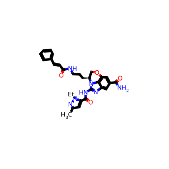 CCn1nc(C)cc1C(=O)Nc1nc2cc(C(N)=O)cc3c2n1[C@@H](CCCNC(=O)C=Cc1ccccc1)CO3